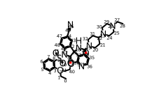 CCOc1ccccc1S(=O)(=O)N1C(=O)C(NC(=O)N2CCC(N3CCN(CC)CC3)CC2)(c2cccnc2OCC)c2cc(C#N)ccc21